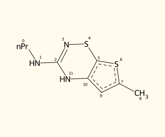 CCCNC1=NSc2sc(C)cc2N1